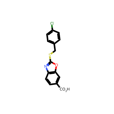 O=C(O)c1ccc2nc(SCc3ccc(Cl)cc3)oc2c1